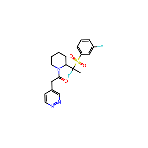 CC(F)(C1CCCCN1C(=O)Cc1ccnnc1)S(=O)(=O)c1cccc(F)c1